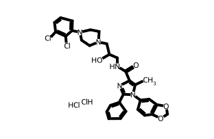 Cc1c(C(=O)NCC(O)CN2CCN(c3cccc(Cl)c3Cl)CC2)nc(-c2ccccc2)n1-c1ccc2c(c1)OCO2.Cl.Cl